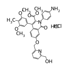 COC(=O)c1c(-c2cc(OC)c(C)c(OC)c2)c2ccc(OCc3cccc(CO)n3)cc2c(=O)n1-c1ccc(N)cc1.Cl.Cl